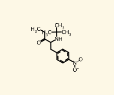 CCC(=O)C(Cc1ccc([N+](=O)[O-])cc1)NC(C)(C)C